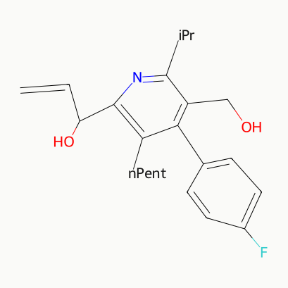 C=CC(O)c1nc(C(C)C)c(CO)c(-c2ccc(F)cc2)c1CCCCC